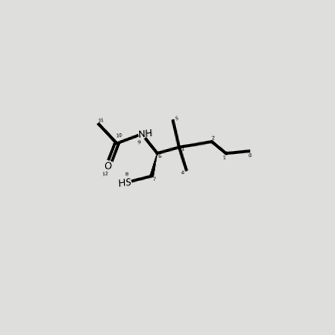 CCCC(C)(C)[C@@H](CS)NC(C)=O